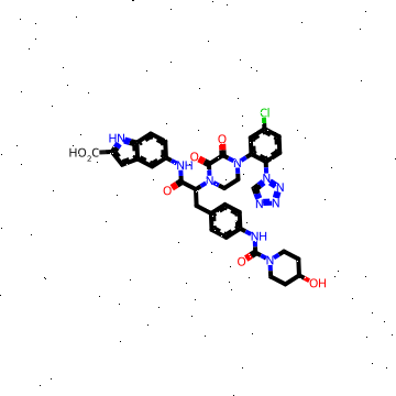 O=C(O)c1cc2cc(NC(=O)C(Cc3ccc(NC(=O)N4CCC(O)CC4)cc3)N3CCN(c4cc(Cl)ccc4-n4cnnn4)C(=O)C3=O)ccc2[nH]1